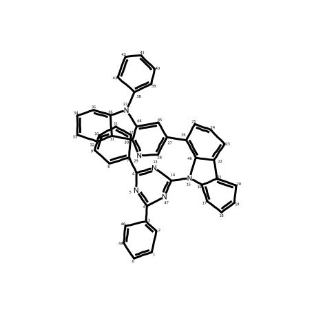 c1ccc(-c2nc(-c3ccccc3)nc(-n3c4ccccc4c4cccc(-c5cnc6c7ccccc7n(-c7ccccc7)c6c5)c43)n2)cc1